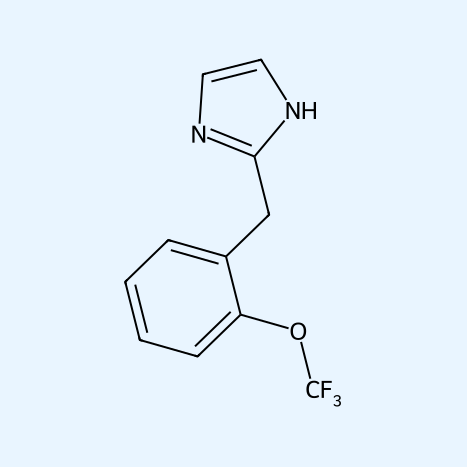 FC(F)(F)Oc1ccccc1Cc1ncc[nH]1